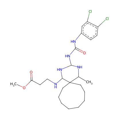 COC(=O)CCNC1NC(NC(=O)Nc2ccc(Cl)c(Cl)c2)NC(C)C12CCCCCCCC2